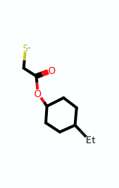 CCC1CCC(OC(=O)C[S])CC1